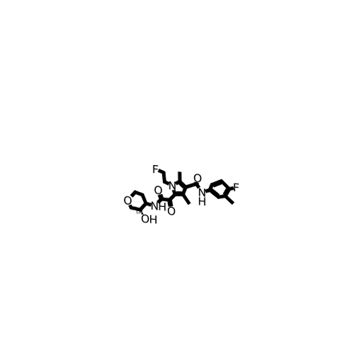 Cc1cc(NC(=O)c2c(C)c(C(=O)C(=O)NC3CCOC[C@H]3O)n(CCF)c2C)ccc1F